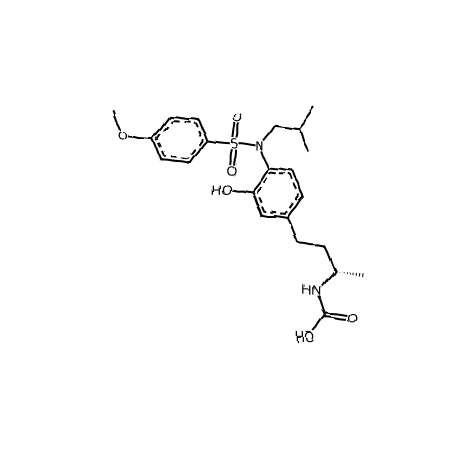 COc1ccc(S(=O)(=O)N(CC(C)C)c2ccc(CC[C@H](C)NC(=O)O)cc2O)cc1